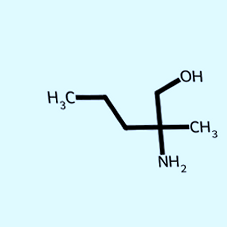 CCCC(C)(N)CO